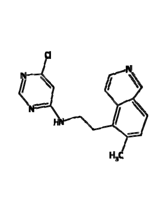 Cc1ccc2cnccc2c1CCNc1cc(Cl)ncn1